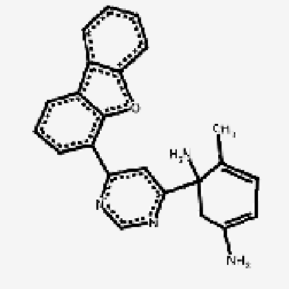 CC1=CC=C(N)CC1(N)c1cc(-c2cccc3c2oc2ccccc23)ncn1